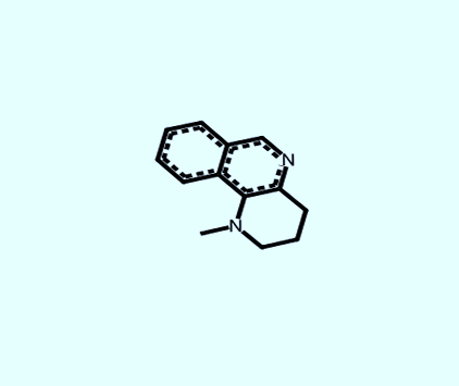 CN1CCCc2ncc3ccccc3c21